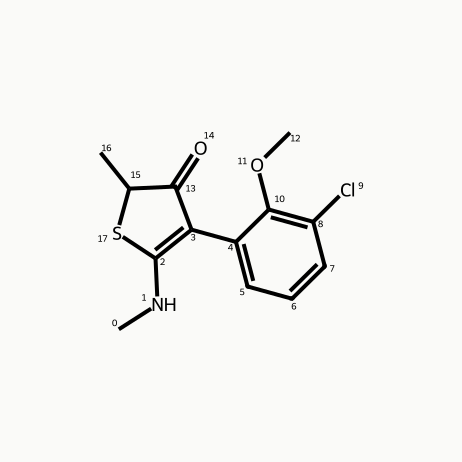 CNC1=C(c2cccc(Cl)c2OC)C(=O)C(C)S1